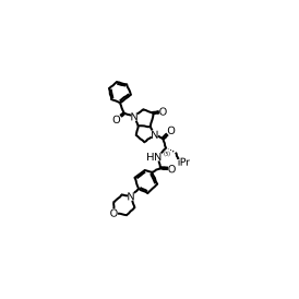 CC(C)C[C@H](NC(=O)c1ccc(N2CCOCC2)cc1)C(=O)N1CCC2C1C(=O)CN2C(=O)c1ccccc1